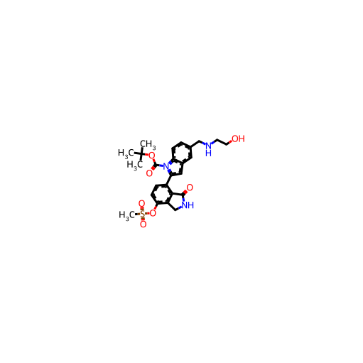 CC(C)(C)OC(=O)n1c(-c2ccc(OS(C)(=O)=O)c3c2C(=O)NC3)cc2cc(CNCCO)ccc21